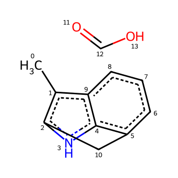 Cc1c2[nH]c3c(cccc13)C2.O=CO